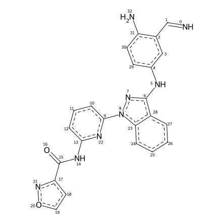 N=Cc1cc(Nc2nn(-c3cccc(NC(=O)c4ccon4)n3)c3ccccc23)ccc1N